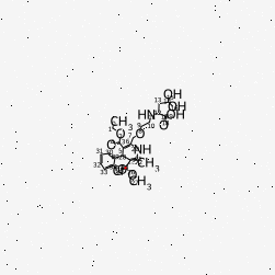 CCOC(=O)C1=C(COCCNC(CC(O)O)C(=O)O)NC(C)=C(C(=O)OC)C1c1ccccc1Cl